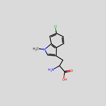 Cn1cc(CC(N)C(=O)O)c2ccc(Cl)cc21